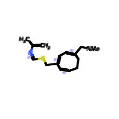 C=C(C)/N=C\SCC1=C/C=C(/CNC)CC/C=C\1